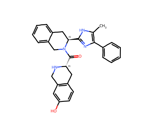 Cc1[nH]c([C@@H]2Cc3ccccc3CN2C(=O)[C@@H]2Cc3ccc(O)cc3CN2)nc1-c1ccccc1